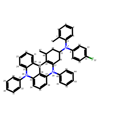 Cc1ccccc1N(c1ccc(F)cc1)C1CC2=C(B3c4ccccc4N(c4ccccc4)c4cccc(c43)N2c2ccccc2)C(C)C1